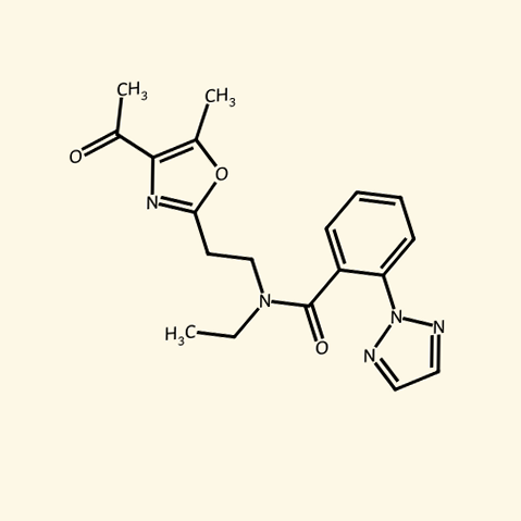 CCN(CCc1nc(C(C)=O)c(C)o1)C(=O)c1ccccc1-n1nccn1